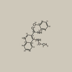 CONc1c(C(=O)Nc2ccccc2Cl)cnc2ccccc12